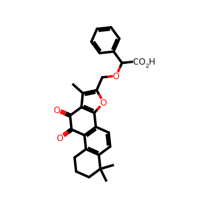 Cc1c(COC(C(=O)O)c2ccccc2)oc2c1C(=O)C(=O)c1c-2ccc2c1CCCC2(C)C